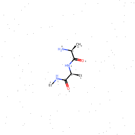 CCNC(=O)[C@H](CC)NC(=O)[C@H](C)N